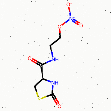 O=C1N[C@H](C(=O)NCCO[N+](=O)[O-])CS1